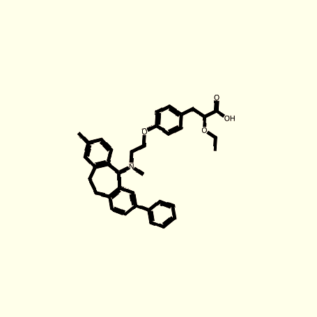 CCOC(Cc1ccc(OCCN(C)C2c3ccc(C)cc3CCc3ccc(-c4ccccc4)cc32)cc1)C(=O)O